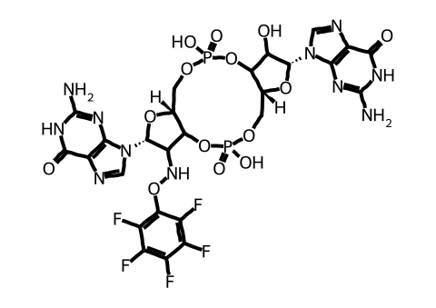 Nc1nc2c(ncn2[C@@H]2O[C@@H]3COP(=O)(O)OC4C(NOc5c(F)c(F)c(F)c(F)c5F)[C@H](n5cnc6c(=O)[nH]c(N)nc65)O[C@@H]4COP(=O)(O)OC3C2O)c(=O)[nH]1